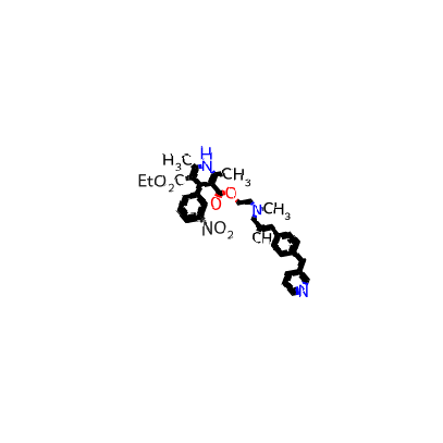 CCOC(=O)C1=C(C)NC(C)=C(C(=O)OCCN(C)CC(C)=Cc2ccc(Cc3cccnc3)cc2)C1c1cccc([N+](=O)[O-])c1